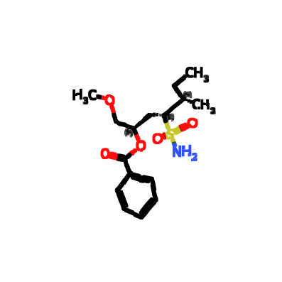 CC[C@H](C)[C@@H](C[C@H](COC)OC(=O)c1ccccc1)S(N)(=O)=O